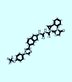 O=C(NC(=S)/N=C1\SCC(=O)N1c1ccccc1C1CC1)NC1Cc2ccc(-c3ncn(-c4ccc(OC(F)(F)F)cc4)n3)cc2C1